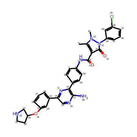 Cc1c(C(=O)Nc2ccc(-c3nc(-c4cccc(OC5CCNC5)c4)cnc3N)cc2)c(=O)n(-c2cccc(Cl)c2)n1C